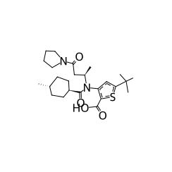 C[C@H](CC(=O)N1CCCC1)N(c1cc(C(C)(C)C)sc1C(=O)O)C(=O)[C@H]1CC[C@H](C)CC1